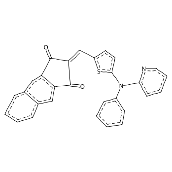 O=C1C(=Cc2ccc(N(c3ccccc3)c3ccccn3)s2)C(=O)c2cc3ccccc3cc21